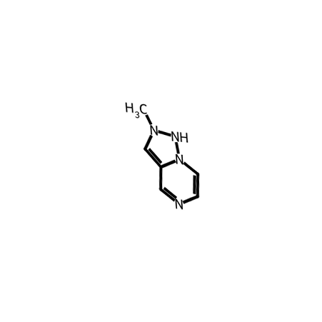 CN1C=C2C=NC=CN2N1